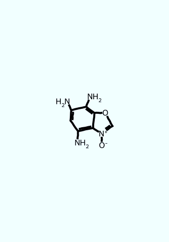 Nc1cc(N)c2c(oc[n+]2[O-])c1N